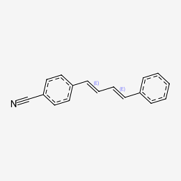 N#Cc1ccc(/C=C/C=C/c2ccccc2)cc1